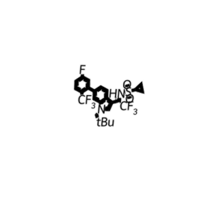 CC(C)(C)Cn1cc([C@H](NS(=O)(=O)C2CC2)C(F)(F)F)c2ccc(-c3cc(F)ccc3C(F)(F)F)cc21